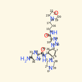 CN1CCN(c2ccc(-n3cc(C(=O)NCCCN4CCOCC4)nn3)cc2NC(=O)c2ncc(N)cn2)CC1